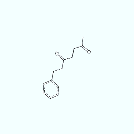 CC(=O)CCC(=O)CCc1ccccc1